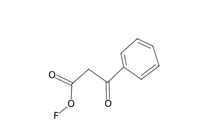 O=C(CC(=O)c1ccccc1)OF